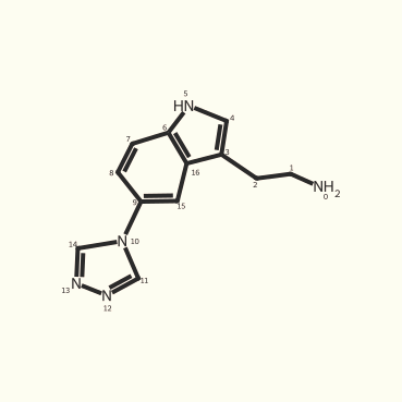 NCCc1c[nH]c2ccc(-n3cnnc3)cc12